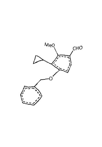 COc1c(C=O)ccc(OCc2ccccc2)c1C1CC1